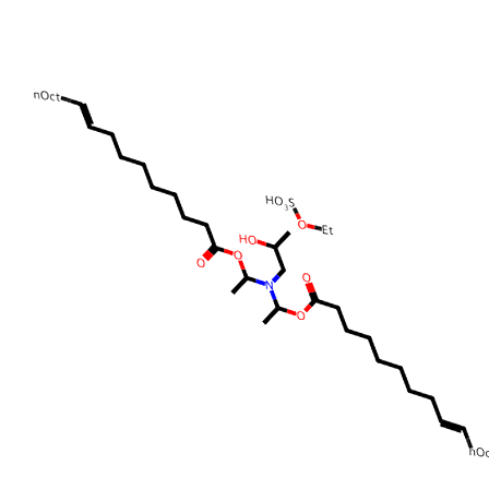 CCCCCCCCC=CCCCCCCCC(=O)OC(C)N(CC(C)O)C(C)OC(=O)CCCCCCCC=CCCCCCCCC.CCOS(=O)(=O)O